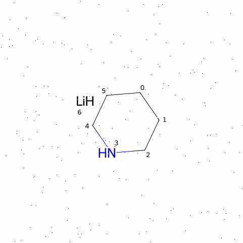 C1CCNCC1.[LiH]